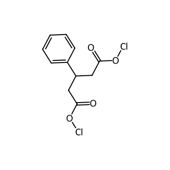 O=C(CC(CC(=O)OCl)c1ccccc1)OCl